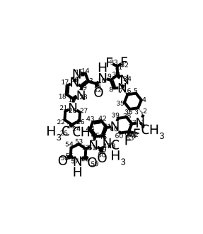 CN(C[C@H]1CC[C@H](n2cc(NC(=O)c3cnn4ccc(N5CCC(C)(C)CC5)nc34)c(C(F)F)n2)CC1)C1CCN(c2cccc3c2n(C)c(=O)n3C2CCC(=O)NC2=O)CC1(F)F